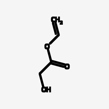 C=COC(=O)CO